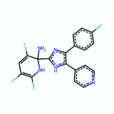 NC1(c2nc(-c3ccc(F)cc3)c(-c3ccncc3)[nH]2)NC(F)=C(F)C=C1F